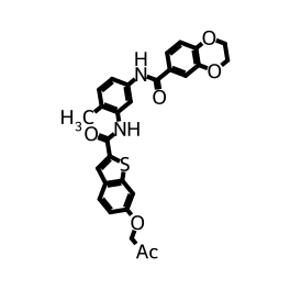 CC(=O)COc1ccc2cc(C(=O)Nc3cc(NC(=O)c4ccc5c(c4)OCCO5)ccc3C)sc2c1